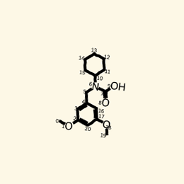 COc1cc(CN(C(=O)O)C2CCCCC2)cc(OC)c1